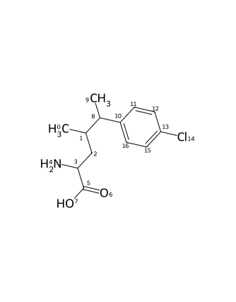 CC(CC(N)C(=O)O)C(C)c1ccc(Cl)cc1